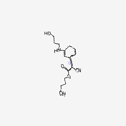 N#C/C(C(=O)OCCCO)=C1/C=C(NCCCO)CCC1